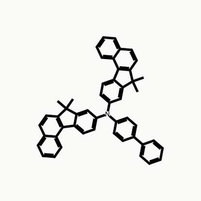 CC1(C)c2cc(N(c3ccc(-c4ccccc4)cc3)c3ccc4c(c3)C(C)(C)c3ccc5ccccc5c3-4)ccc2-c2c1ccc1ccccc21